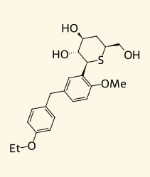 CCOc1ccc(Cc2ccc(OC)c([C@@H]3S[C@H](CO)C[C@H](O)[C@H]3O)c2)cc1